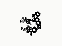 CN(C)S(=O)(=O)N[C@H]1CC[C@H](Nc2ncc3c(n2)N(COCC[Si](C)(C)C)C(=O)N(c2ccccc2Cl)C3)CC1